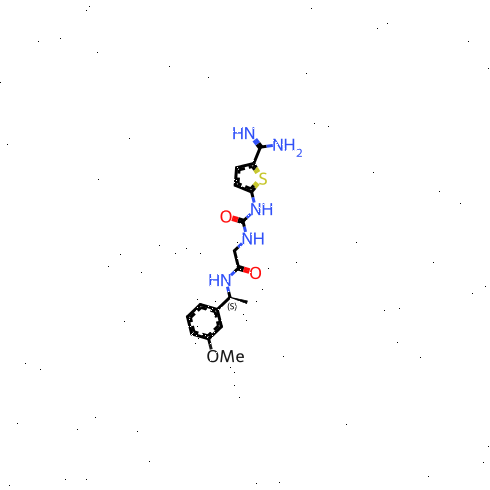 COc1cccc([C@H](C)NC(=O)CNC(=O)Nc2ccc(C(=N)N)s2)c1